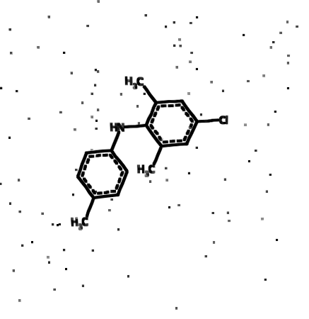 Cc1ccc(Nc2c(C)cc(Cl)cc2C)cc1